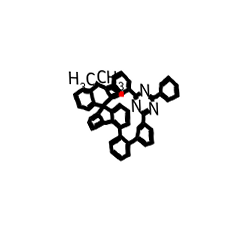 CC1(C)c2ccccc2C2(c3ccccc3-c3c(-c4ccccc4-c4cccc(-c5nc(-c6ccccc6)nc(-c6ccccc6)n5)c4)cccc32)c2ccccc21